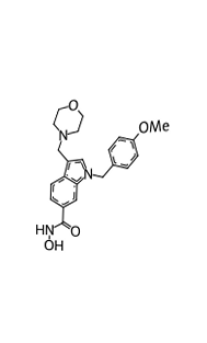 COc1ccc(Cn2cc(CN3CCOCC3)c3ccc(C(=O)NO)cc32)cc1